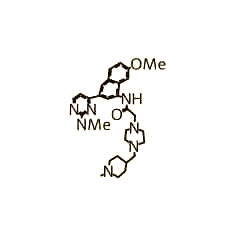 CNc1nccc(-c2cc(NC(=O)CN3CCN(CC4CCN(C)CC4)CC3)c3cc(OC)ccc3c2)n1